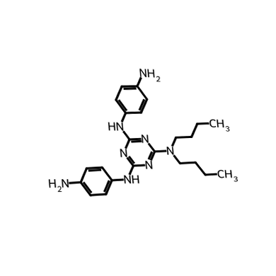 CCCCN(CCCC)c1nc(Nc2ccc(N)cc2)nc(Nc2ccc(N)cc2)n1